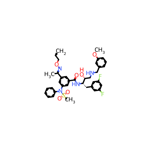 C=CCO/N=C(\C)c1cc(C(=O)N[C@@H](Cc2cc(F)cc(F)c2)[C@H](O)CNCc2cccc(OC)c2)cc(N(c2ccccc2)S(C)(=O)=O)c1